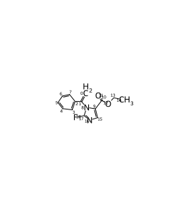 C=C(c1ccccc1)n1c(C(=O)OCC)cnc1F